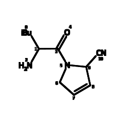 CCC(C)C(N)C(=O)N1CC=CC1C#N